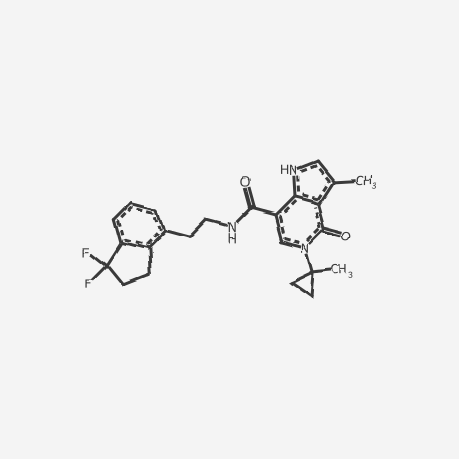 Cc1c[nH]c2c(C(=O)NCCc3cccc4c3CCC4(F)F)cn(C3(C)CC3)c(=O)c12